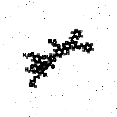 CCCCC[C@@H](C(=O)NCNC(=O)c1ccc(-c2ccc(C(=O)N[C@@H](CC(=O)OCc3ccccc3)C(=O)OCc3ccccc3)c(OCC)c2)o1)[C@@H](CC)N(C=O)OC(=O)c1ccc(OC)cc1C